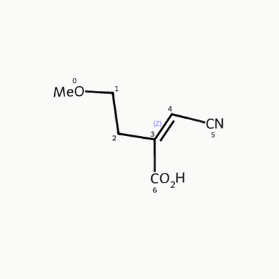 COCC/C(=C/C#N)C(=O)O